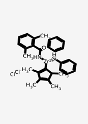 CC1=C(C)C(C)[C]([Zr+2]([NH]C(=O)c2c(C)cccc2C)[SiH](c2ccccc2)c2ccccc2)=C1C.[Cl-].[Cl-]